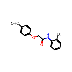 CCc1ccccc1NC(=O)COc1ccc(C=O)cc1